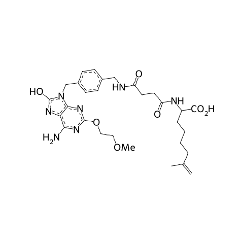 C=C(C)CCCCC(NC(=O)CCC(=O)NCc1ccc(Cn2c(O)nc3c(N)nc(OCCOC)nc32)cc1)C(=O)O